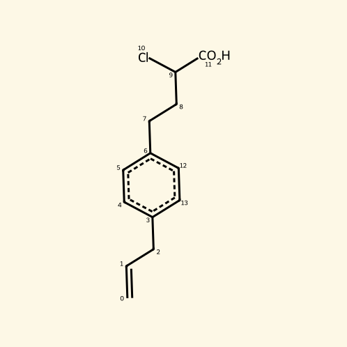 C=CCc1ccc(CCC(Cl)C(=O)O)cc1